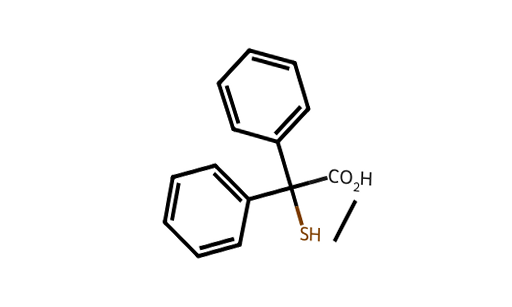 CC.O=C(O)C(S)(c1ccccc1)c1ccccc1